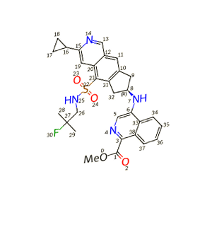 COC(=O)c1ncc(N[C@@H]2Cc3cc4cnc(C5CC5)cc4c(S(=O)(=O)NCC(C)(C)F)c3C2)c2ccccc12